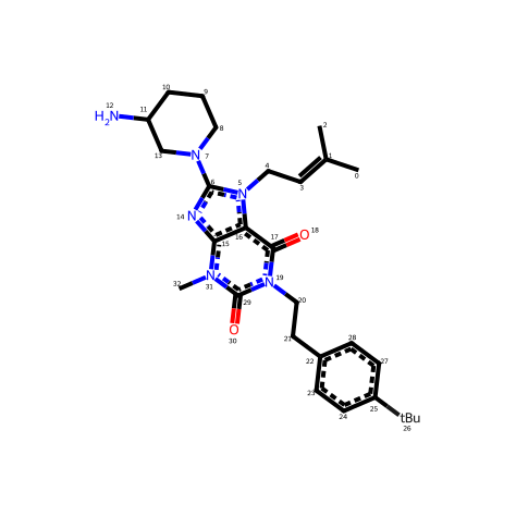 CC(C)=CCn1c(N2CCCC(N)C2)nc2c1c(=O)n(CCc1ccc(C(C)(C)C)cc1)c(=O)n2C